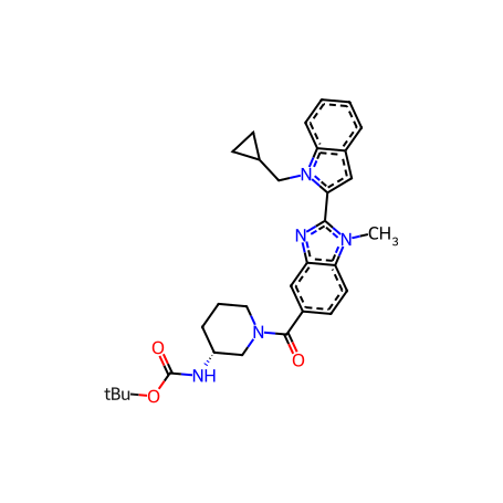 Cn1c(-c2cc3ccccc3n2CC2CC2)nc2cc(C(=O)N3CCC[C@@H](NC(=O)OC(C)(C)C)C3)ccc21